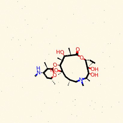 CC[C@H]1OC(=O)[C@H](C)[C@@H](O)[C@H](C)[C@@H](O[C@@H]2O[C@H](C)C[C@H](NC)[C@H]2C)[C@](C)(O)C[C@@H](C)CN(C)[C@H](C)[C@@H](O)[C@]1(C)O